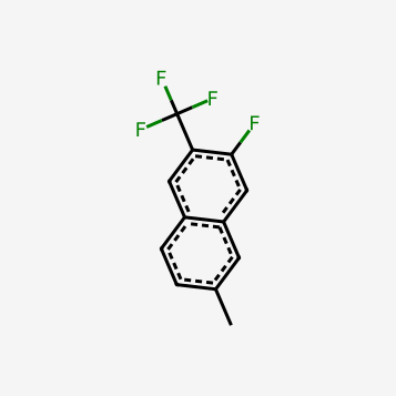 Cc1ccc2cc(C(F)(F)F)c(F)cc2c1